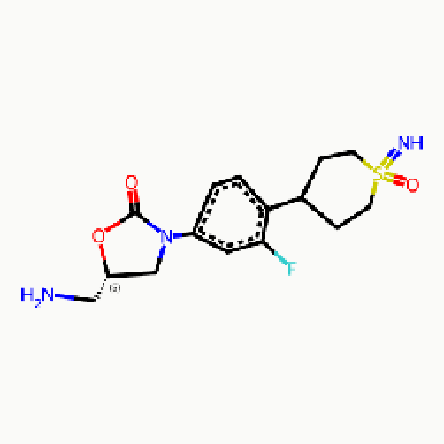 N=S1(=O)CCC(c2ccc(N3C[C@H](CN)OC3=O)cc2F)CC1